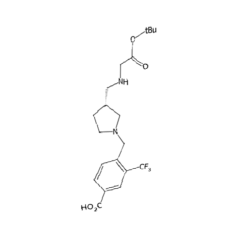 CC(C)(C)OC(=O)CNC[C@H]1CCN(Cc2ccc(C(=O)O)cc2C(F)(F)F)C1